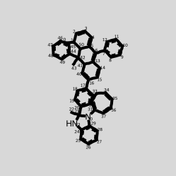 CC1C=CC=C2C(c3ccccc3)=C3C=CC(c4ccc(C5(C)Nc6ccccc6N5C5=CCC=CC=C5)cc4)=CC3C(C)(c3ccccc3)C21